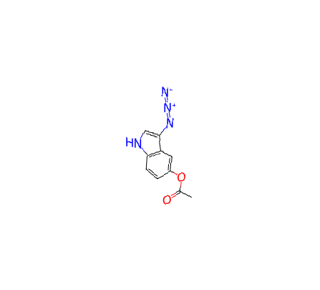 CC(=O)Oc1ccc2[nH]cc(N=[N+]=[N-])c2c1